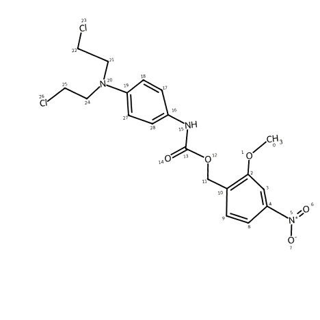 COc1cc([N+](=O)[O-])ccc1COC(=O)Nc1ccc(N(CCCl)CCCl)cc1